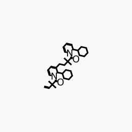 C=CC(C)(C)C(=O)N1C=CC=C(CCC(C)(C)C(=O)N2C=CC=CC2C2CCCCC2)C1C1CCCCC1